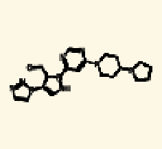 O=CC1C(n2ccnn2)=CNN1c1cc(N2CCC(N3CCCC3)CC2)ncn1